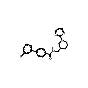 O=C(NCC1CCCN(c2ncccn2)C1)c1ccc(-c2cccc(F)c2)nc1